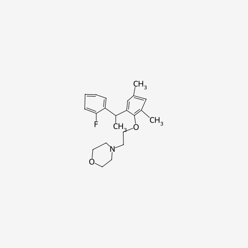 Cc1cc(C)c(OCCN2CCOCC2)c(C(C)c2ccccc2F)c1